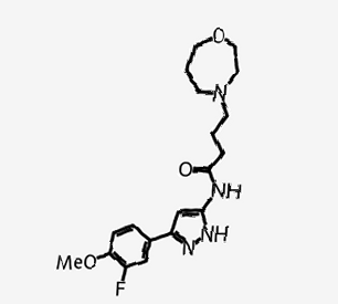 COc1ccc(-c2cc(NC(=O)CCCN3CCCOCC3)[nH]n2)cc1F